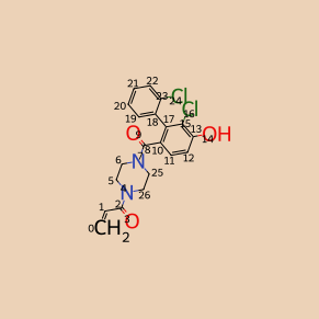 C=CC(=O)N1CCN(C(=O)c2ccc(O)c(Cl)c2-c2ccccc2Cl)CC1